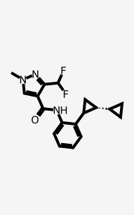 Cn1cc(C(=O)Nc2ccccc2C2C[C@@H]2C2CC2)c(C(F)F)n1